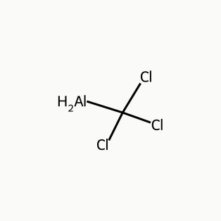 [AlH2][C](Cl)(Cl)Cl